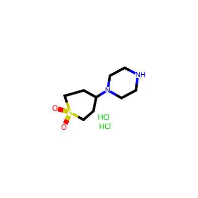 Cl.Cl.O=S1(=O)CCC(N2CCNCC2)CC1